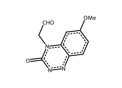 COc1ccc2nnc(=O)n(CC=O)c2c1